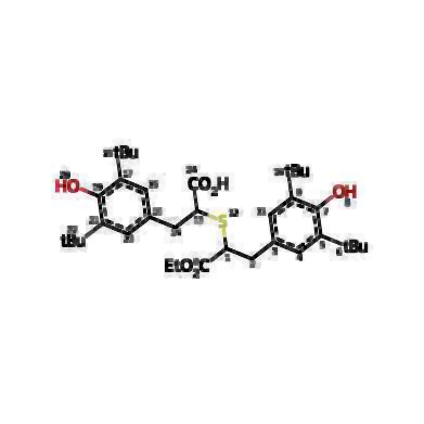 CCOC(=O)C(Cc1cc(C(C)(C)C)c(O)c(C(C)(C)C)c1)SC(Cc1cc(C(C)(C)C)c(O)c(C(C)(C)C)c1)C(=O)O